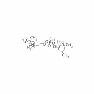 CC(CCOOP(=O)(O)OOCCC(C)CC(C)(C)C)CC(C)(C)C